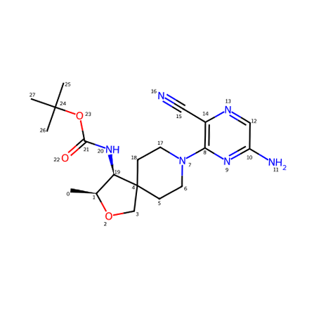 C[C@@H]1OCC2(CCN(c3nc(N)cnc3C#N)CC2)[C@@H]1NC(=O)OC(C)(C)C